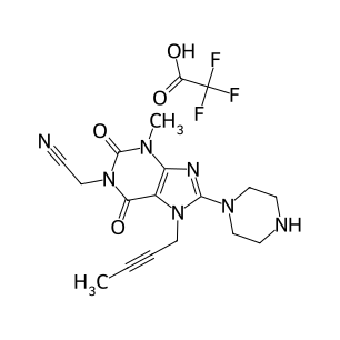 CC#CCn1c(N2CCNCC2)nc2c1c(=O)n(CC#N)c(=O)n2C.O=C(O)C(F)(F)F